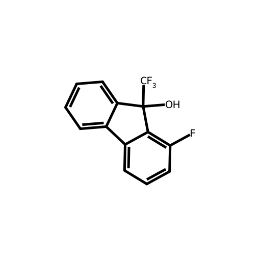 OC1(C(F)(F)F)c2ccccc2-c2cccc(F)c21